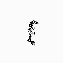 CC1(CO)CCc2ccc(C(=O)NCC(=O)Nc3nc(-c4cccc(-c5ccncc5)c4)cs3)cc21